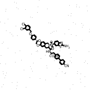 N#Cc1ccc(-c2ccc(C[C@H](NC(=O)C3Cc4cc5c(cc4CN3S(=O)(=O)c3ccc4nc(N)sc4c3)O[C@@H](c3ccc(OCc4ccc(Cl)c(Cl)c4)cc3)CO5)C(=O)O)cc2)cc1